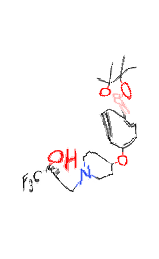 CC1(C)OB(c2ccc(OC3CCN(C[C@@H](O)C(F)(F)F)CC3)cc2)OC1(C)C